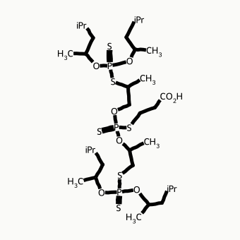 CC(C)CC(C)OP(=S)(OC(C)CC(C)C)SCC(C)OP(=S)(OCC(C)SP(=S)(OC(C)CC(C)C)OC(C)CC(C)C)SCCC(=O)O